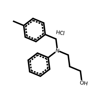 Cc1ccc(CN(CCCO)c2ccccc2)cc1.Cl